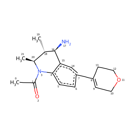 CC(=O)N1c2ccc(C3=CCOCC3)cc2[C@H](N)[C@@H](C)[C@@H]1C